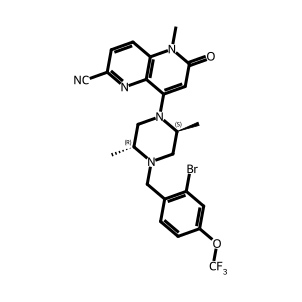 C[C@@H]1CN(c2cc(=O)n(C)c3ccc(C#N)nc23)[C@@H](C)CN1Cc1ccc(OC(F)(F)F)cc1Br